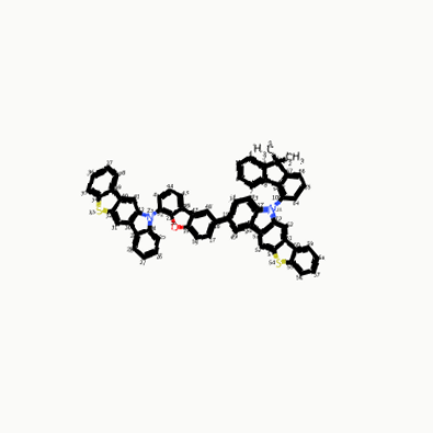 CC1(C)c2ccccc2-c2c(-n3c4ccc(-c5ccc6oc7c(-n8c9ccccc9c9cc%10sc%11ccccc%11c%10cc98)cccc7c6c5)cc4c4cc5sc6ccccc6c5cc43)cccc21